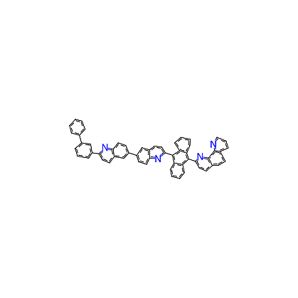 c1ccc(-c2cccc(-c3ccc4cc(-c5ccc6nc(-c7c8ccccc8c(-c8ccc9ccc%10cccnc%10c9n8)c8ccccc78)ccc6c5)ccc4n3)c2)cc1